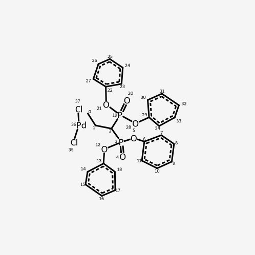 CCC(P(=O)(Oc1ccccc1)Oc1ccccc1)P(=O)(Oc1ccccc1)Oc1ccccc1.[Cl][Pd][Cl]